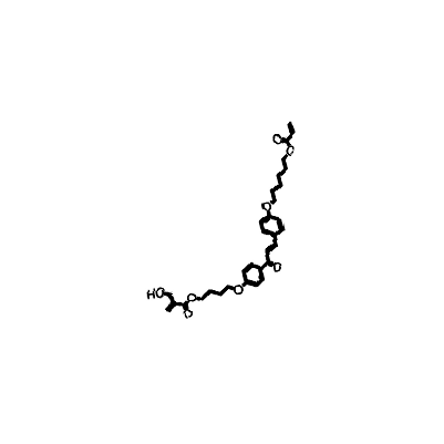 C=CC(=O)OCCCCCCOc1ccc(/C=C/C(=O)c2ccc(OCCCCOC(=O)C(=C)CO)cc2)cc1